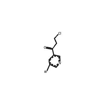 O=C(CCCl)c1cncc(Br)c1